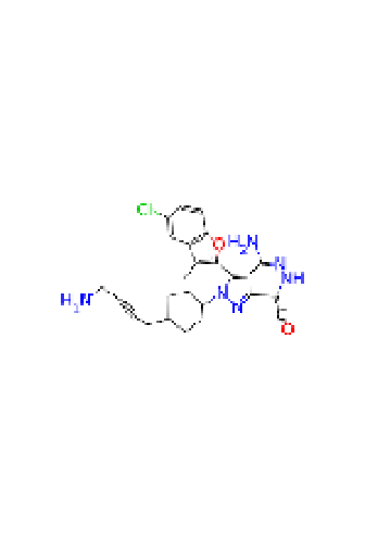 Cc1c(-c2c3c(nn2C2CCC(CC#CCN)CC2)C(=C=O)NN=C3N)oc2ccc(Cl)cc12